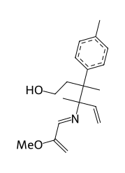 C=CC(C)(/N=C/C(=C)OC)C(C)(CCO)c1ccc(C)cc1